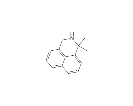 CC1(C)NCc2cccc3cccc1c23